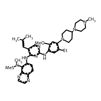 CCc1cc(Nc2ncc(C=C(C)C)c(Nc3ccc4nccnc4c3N(C)SC)n2)c(OC)cc1N1CCC(N2CCN(C)CC2)CC1